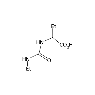 CCNC(=O)NC(CC)C(=O)O